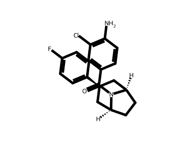 Nc1ccc(C(=O)N2[C@@H]3CC[C@H]2C[C@@H](c2ccc(F)cc2)C3)cc1Cl